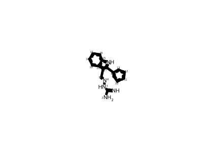 N=C(N)N/N=C/c1c(-c2ccccc2)[nH]c2ccccc12